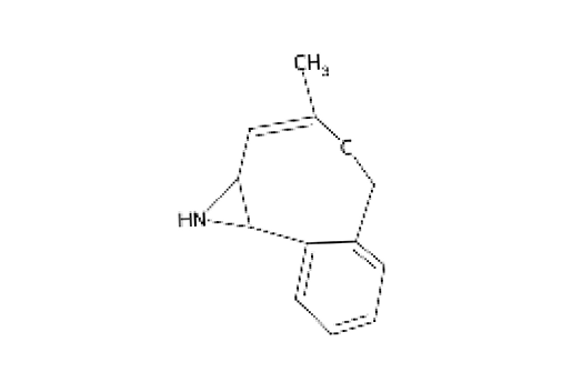 C/C1=C/C2NC2c2ccccc2CC1